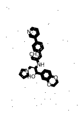 CC=C(Cc1ccc(-c2cccnc2)cc1)N[C@H](CN1CCCC1)[C@H](O)c1ccc2c(c1)OCCO2